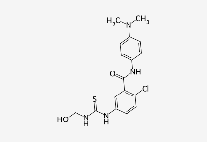 CN(C)c1ccc(NC(=O)c2cc(NC(=S)NCO)ccc2Cl)cc1